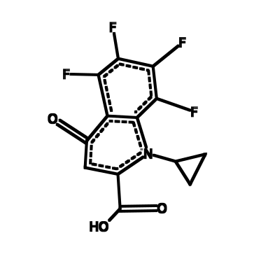 O=C(O)c1cc(=O)c2c(F)c(F)c(F)c(F)c2n1C1CC1